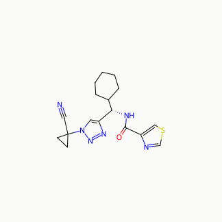 N#CC1(n2cc([C@@H](NC(=O)c3cscn3)C3CCCCC3)nn2)CC1